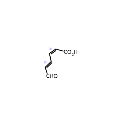 O=C/C=C/C=C\C(=O)O